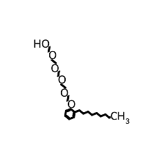 CCCCCCCCCc1ccccc1OCCOCCOCCOCCOCCO